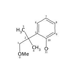 COCC(C)(C)c1ccccc1[O]